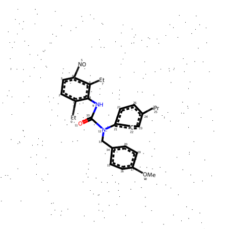 CCc1ccc(N=O)c(CC)c1NC(=O)N(Cc1ccc(OC)cc1)c1ccc(C(C)C)cc1